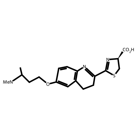 CNC(C)CCOc1ccc2c(c1)CCC(C1=N[C@@H](C(=O)O)CS1)=N2